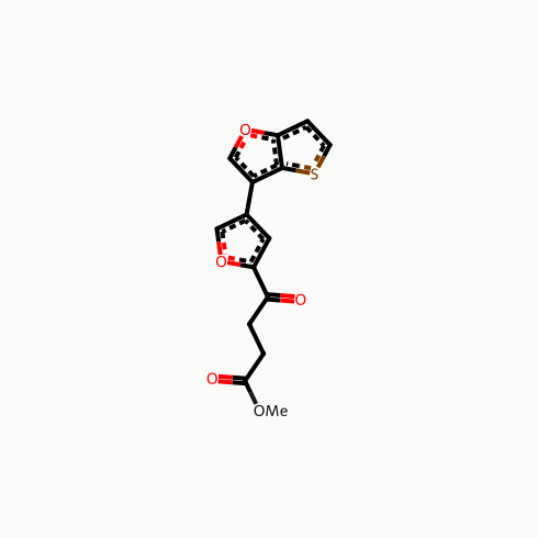 COC(=O)CCC(=O)c1cc(-c2coc3ccsc23)co1